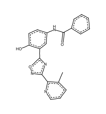 Cc1cccnc1-c1noc(-c2cc(NC(=O)c3ccccc3)ccc2O)n1